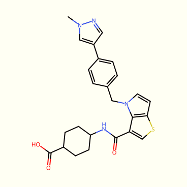 Cn1cc(-c2ccc(Cn3ccc4scc(C(=O)NC5CCC(C(=O)O)CC5)c43)cc2)cn1